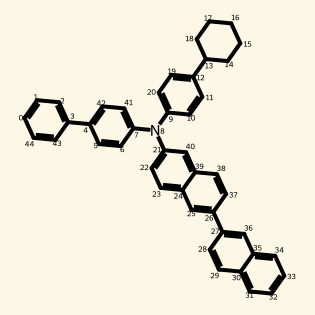 c1ccc(-c2ccc(N(c3ccc(C4CCCCC4)cc3)c3ccc4cc(-c5ccc6ccccc6c5)ccc4c3)cc2)cc1